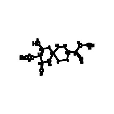 CCOC(=O)C1=C(O)CC2(CCN(C(=O)OC(C)(C)C)CC2)OC1=O